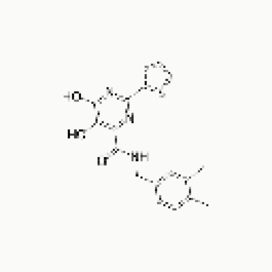 Cc1ccc(CNC(=O)c2nc(-c3cccs3)nc(O)c2O)cc1C